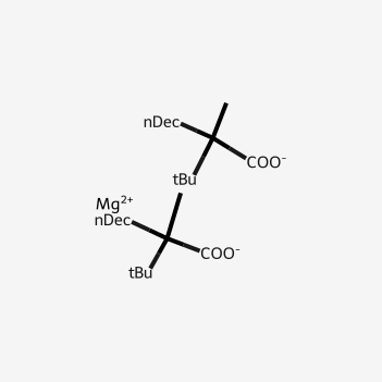 CCCCCCCCCCC(C)(C(=O)[O-])C(C)(C)C.CCCCCCCCCCC(C)(C(=O)[O-])C(C)(C)C.[Mg+2]